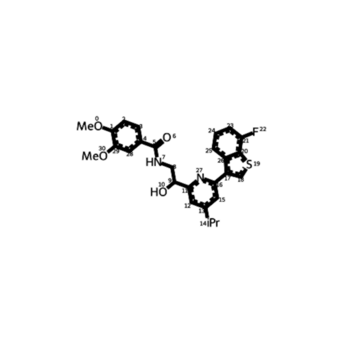 COc1ccc(C(=O)NCC(O)c2cc(C(C)C)cc(-c3csc4c(F)cccc34)n2)cc1OC